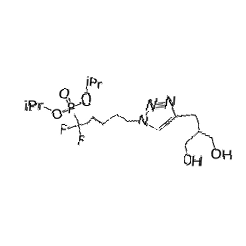 CC(C)OP(=O)(OC(C)C)C(F)(F)CCCCn1cc(CC(CO)CO)nn1